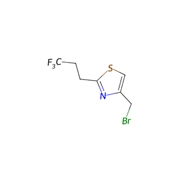 FC(F)(F)CCc1nc(CBr)cs1